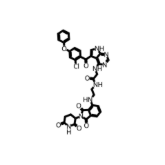 O=C(CNc1ncnc2[nH]cc(C(=O)c3ccc(Oc4ccccc4)cc3Cl)c12)NCCNc1cccc2c1C(=O)N(C1CCC(=O)NC1=O)C2=O